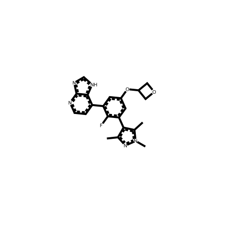 Cc1nn(C)c(C)c1-c1cc(OC2COC2)cc(-c2ccnc3nc[nH]c23)c1F